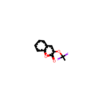 CC(I)(I)Oc1cc2ccccc2oc1=O